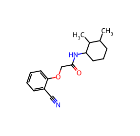 CC1CCCC(NC(=O)COc2ccccc2C#N)C1C